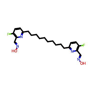 ON=Cc1nc(CCCCCCCCCCc2ccc(F)c(C=NO)n2)ccc1F